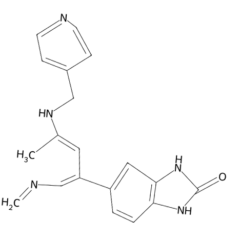 C=N/C=C(\C=C(/C)NCc1ccncc1)c1ccc2[nH]c(=O)[nH]c2c1